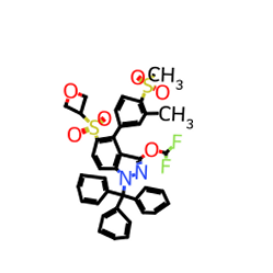 Cc1cc(-c2c(S(=O)(=O)C3COC3)ccc3c2c(OC(F)F)nn3C(c2ccccc2)(c2ccccc2)c2ccccc2)ccc1S(C)(=O)=O